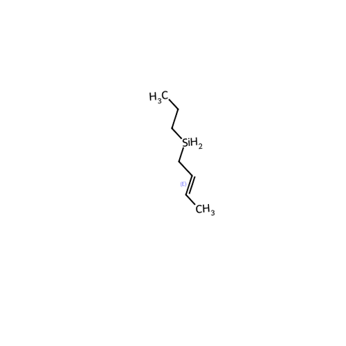 C/C=C/C[SiH2]CCC